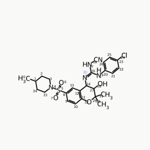 CC1CCN(S(=O)(=O)c2ccc3c(c2)C(/N=C(/NC#N)Nc2ccc(Cl)cc2)C(O)C(C)(C)O3)CC1